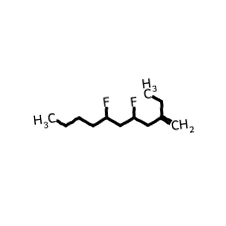 C=C(CC)CC(F)CC(F)CCCC